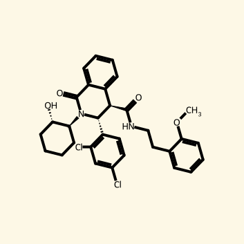 COc1ccccc1CCNC(=O)[C@@H]1c2ccccc2C(=O)N([C@H]2CCCC[C@@H]2O)[C@H]1c1ccc(Cl)cc1Cl